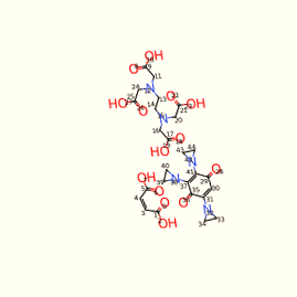 O=C(O)/C=C\C(=O)O.O=C(O)CN(CCN(CC(=O)O)CC(=O)O)CC(=O)O.O=C1C=C(N2CC2)C(=O)C(N2CC2)=C1N1CC1